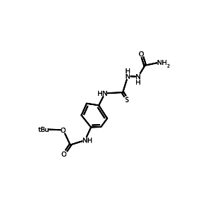 CC(C)(C)OC(=O)Nc1ccc(NC(=S)NNC(N)=O)cc1